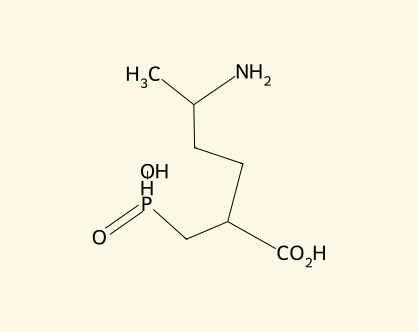 CC(N)CCC(C[PH](=O)O)C(=O)O